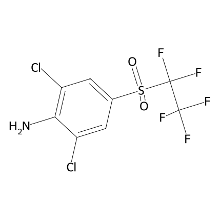 Nc1c(Cl)cc(S(=O)(=O)C(F)(F)C(F)(F)F)cc1Cl